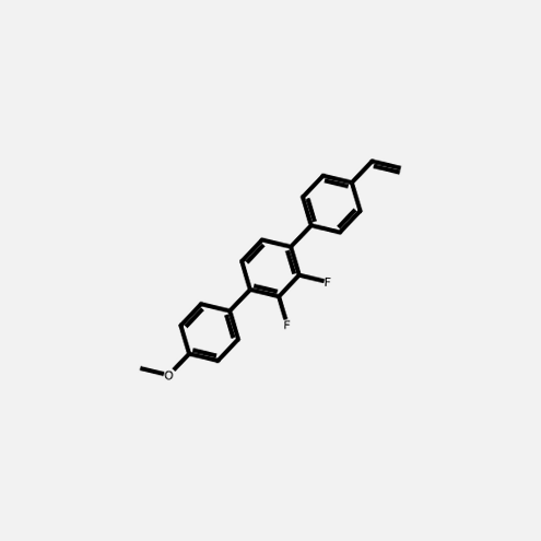 C=Cc1ccc(-c2ccc(-c3ccc(OC)cc3)c(F)c2F)cc1